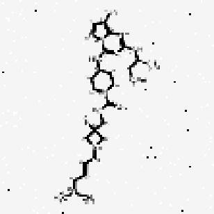 COC[C@H](C)Nc1nc(NC2CCN(C(=O)OCC3(F)CN(C/C=C/CN(C)C)C3)CC2)n2ncc(C(C)C)c2n1